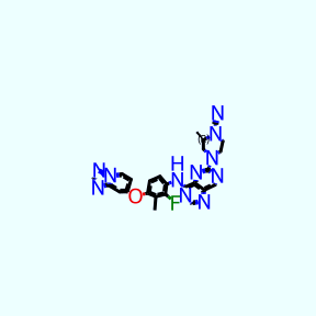 Cc1c(Oc2ccn3ncnc3c2)ccc(Nc2ncnc3cnc(N4CCN(C#N)[C@H](C)C4)nc23)c1F